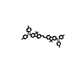 Cc1ccc(N(c2ccc(C)cc2)c2ccc3c(c2)C(C)(C)c2cc(/C=C/c4ccc5c(c4)C(C)(C)c4cc(N(c6ccc(C)cc6)c6ccc(C)cc6)ccc4-5)ccc2-3)cc1